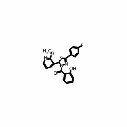 COc1ncccc1C1SC(c2ccc(F)cc2)=NN1C(=O)c1ccccc1O